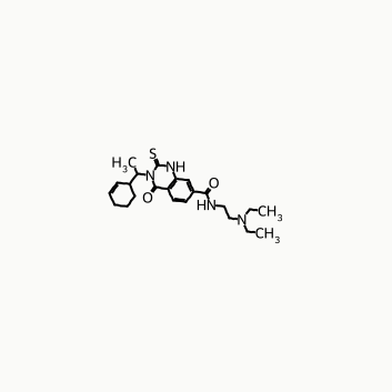 CCN(CC)CCNC(=O)c1ccc2c(=O)n(C(C)C3C=CCCC3)c(=S)[nH]c2c1